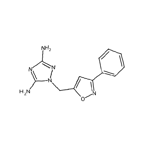 Nc1nc(N)n(Cc2cc(-c3ccccc3)no2)n1